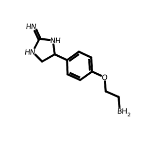 BCCOc1ccc(C2CNC(=N)N2)cc1